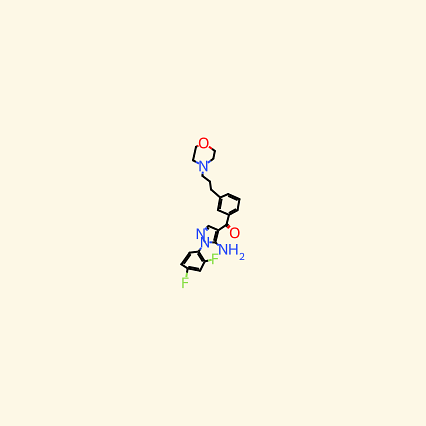 Nc1c(C(=O)c2cccc(CCCN3CCOCC3)c2)cnn1-c1ccc(F)cc1F